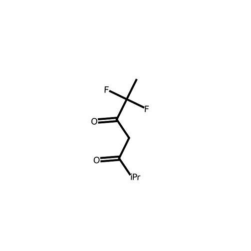 CC(C)C(=O)CC(=O)C(C)(F)F